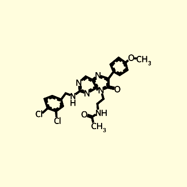 COc1ccc(-c2nc3cnc(NCc4ccc(Cl)c(Cl)c4)nc3n(CCNC(C)=O)c2=O)cc1